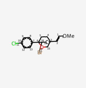 COC=CC12CCC(c3ccc(Cl)cc3)(OC1)C(Br)C2